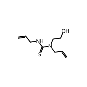 C=CCNC(=S)N(CC=C)CCO